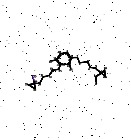 CCC1(CCCCCc2ccc(C)c(CCCCCC3(I)CC3)c2C)CC1